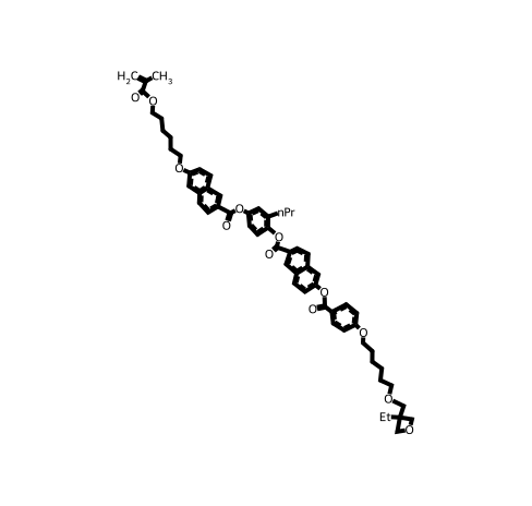 C=C(C)C(=O)OCCCCCCOc1ccc2cc(C(=O)Oc3ccc(OC(=O)c4ccc5cc(OC(=O)c6ccc(OCCCCCCOCC7(CC)COC7)cc6)ccc5c4)c(CCC)c3)ccc2c1